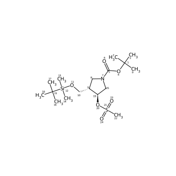 CC(C)(C)OC(=O)N1C[C@@H](CO[Si](C)(C)C(C)(C)C)[C@H](OS(C)(=O)=O)C1